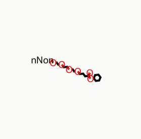 CCCCCCCCCOCCOCCOCCOCCCC(=O)OC1CCCCC1